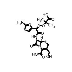 CC(C)(O/N=C(\C(=O)N[C@@H]1C(=O)N2C(C(=O)O)=C(CO)CS[C@H]12)c1csc(N)n1)C(=O)O